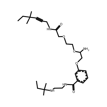 CCC(C)(C)C#CCNC(=O)COCCOC(N)COc1cccc(C(=O)NCCNC(C)(C)CC)c1